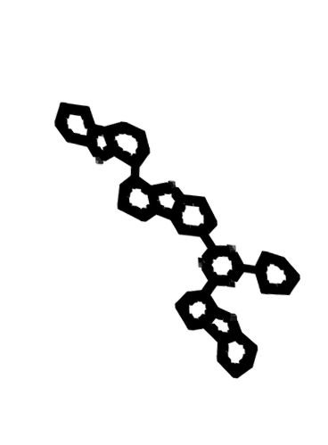 c1ccc(-c2nc(-c3ccc4sc5c(-c6cccc7c6sc6ccccc67)cccc5c4c3)nc(-c3cccc4c3oc3ccccc34)n2)cc1